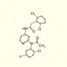 CC(=O)N(c1cc(NC(=O)Cc2c(Cl)cccc2Cl)ccn1)c1cc(F)ccc1Cl